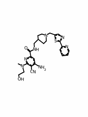 CN(CCO)c1nc(C(=O)NCC2CCN(Cc3cnc(-c4ccccn4)s3)CC2)cc(N)c1C#N